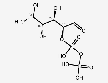 C[C@H](O)[C@@H](O)[C@@H](O)[C@@H](C=O)OP(=O)(O)OP(=O)(O)O